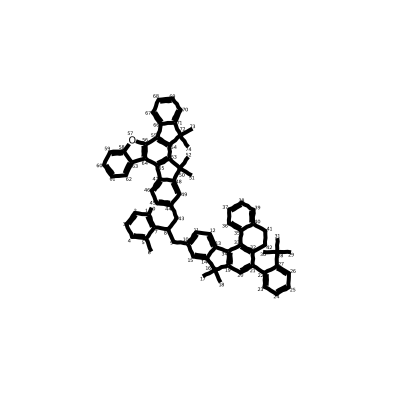 Cc1cccc(C)c1C(Cc1ccc2c(c1)C(C)(C)c1cc(-c3ccccc3C(C)(C)C)c3c(c1-2)-c1ccccc1CC3)Cc1ccc2c(c1)C(C)(C)c1c3c(c4oc5ccccc5c4c1-2)-c1ccccc1C3(C)C